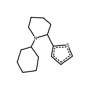 c1csc(C2CCCCN2C2CCCCC2)c1